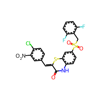 O=C1Nc2ccc(S(=O)(=O)Cc3c(F)cccc3F)cc2SC1=Cc1ccc(Cl)c([N+](=O)[O-])c1